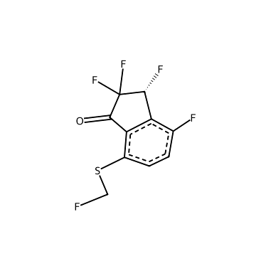 O=C1c2c(SCF)ccc(F)c2[C@@H](F)C1(F)F